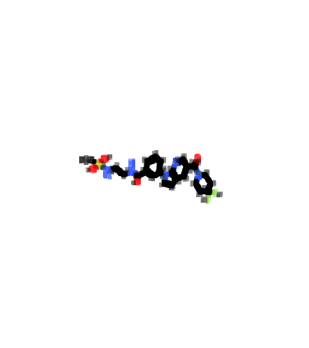 CS(=O)(=O)NCCNC(=O)c1cccc(-n2ccc3cc(C(=O)N4CCC(F)(F)CC4)cnc32)c1